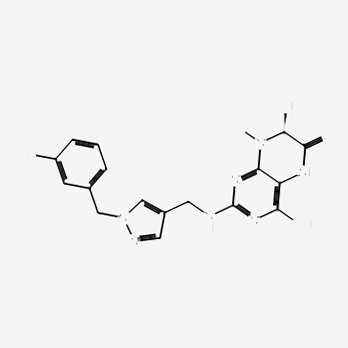 Cc1nc(NCc2cnn(Cc3cccc(C(F)(F)F)c3)c2)nc2c1NC(=O)[C@H](C)N2C